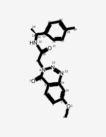 COc1ccc2c(=O)n(CC(=O)N[C@@H](C)c3ccc(C)cc3)nnc2c1